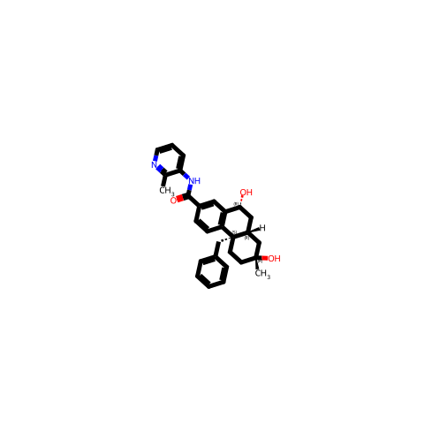 Cc1ncccc1NC(=O)c1ccc2c(c1)[C@H](O)C[C@@H]1C[C@](C)(O)CC[C@@]21Cc1ccccc1